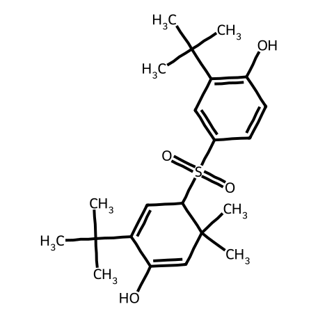 CC(C)(C)C1=CC(S(=O)(=O)c2ccc(O)c(C(C)(C)C)c2)C(C)(C)C=C1O